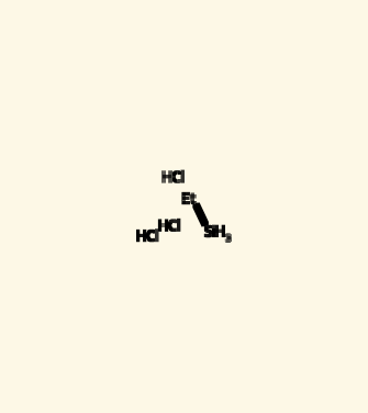 CC[SiH3].Cl.Cl.Cl